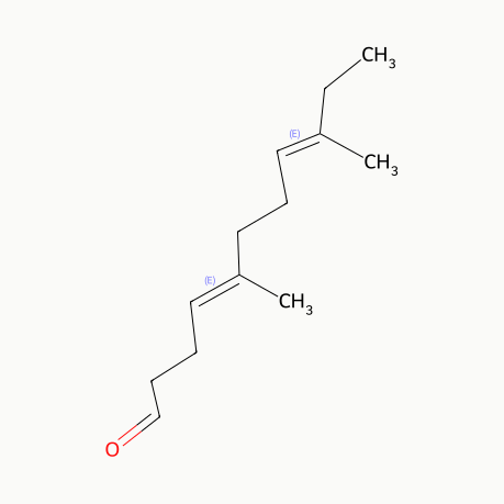 CC/C(C)=C/CC/C(C)=C/CCC=O